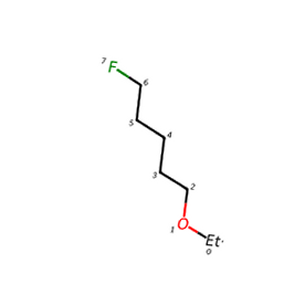 C[CH]OCCCCCF